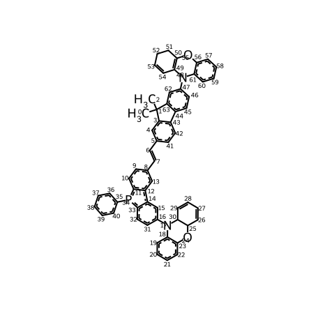 CC1(C)c2cc(/C=C/c3ccc4c(c3)c3cc(N5c6ccccc6OC6C=CC=CC65)ccc3p4-c3ccccc3)ccc2-c2ccc(N3C4=C(CCC=C4)Oc4ccccc43)cc21